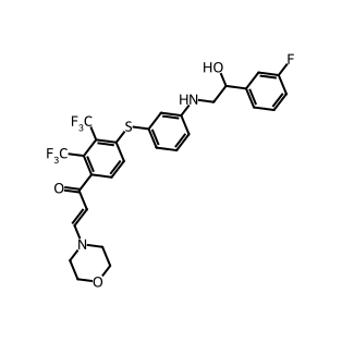 O=C(C=CN1CCOCC1)c1ccc(Sc2cccc(NCC(O)c3cccc(F)c3)c2)c(C(F)(F)F)c1C(F)(F)F